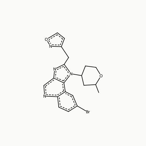 CC1CC(n2c(Cc3ccon3)nc3cnc4ccc(Br)cc4c32)CCO1